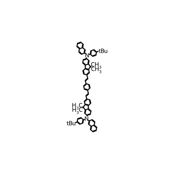 CC(C)(C)c1ccc(N(c2ccc3c(c2)C(C)(C)c2cc(/C=C/c4ccc(/C=C/c5ccc6c(c5)C(C)(C)c5cc(N(c7ccc(C(C)(C)C)cc7)c7ccc8ccccc8c7)ccc5-6)cc4)ccc2-3)c2ccc3ccccc3c2)cc1